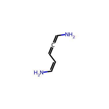 NC=C=C/C=C\N